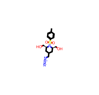 Cc1ccc(S(=O)(=O)N2[C@H](CO)CC(CN=[N+]=[N-])C[C@@H]2CO)cc1